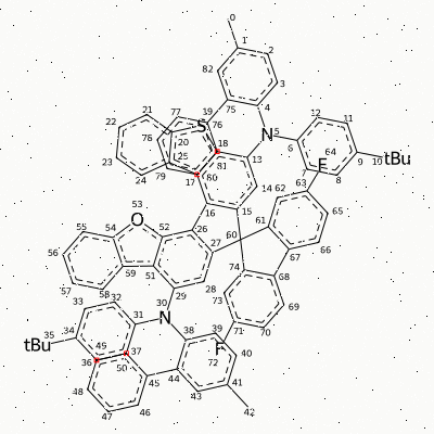 Cc1ccc(N(c2ccc(C(C)(C)C)cc2)c2cc3c(c4c2sc2ccccc24)-c2c(cc(N(c4ccc(C(C)(C)C)cc4)c4ccc(C)cc4-c4ccccc4)c4c2oc2ccccc24)C32c3cc(F)ccc3-c3ccc(F)cc32)c(-c2ccccc2)c1